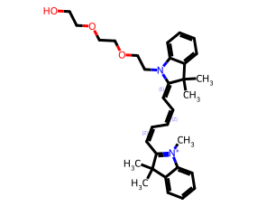 C[N+]1=C(\C=C/C=C\C=C2\N(CCOCCOCCO)c3ccccc3C2(C)C)C(C)(C)c2ccccc21